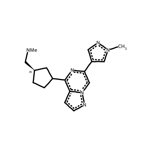 CNC[C@@H]1CCC(c2nc(-c3cnn(C)c3)cn3nccc23)C1